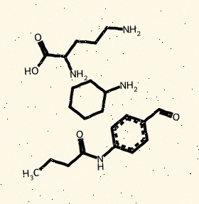 CCCC(=O)Nc1ccc(C=O)cc1.NC1CCCCC1.NCCCC(N)C(=O)O